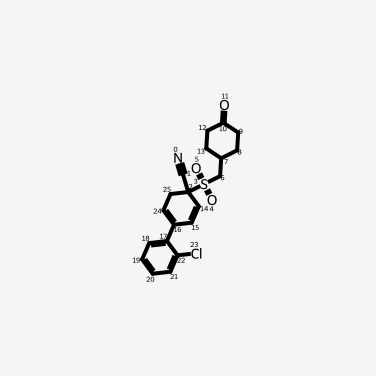 N#CC1(S(=O)(=O)CC2CCC(=O)CC2)C=CC(c2ccccc2Cl)=CC1